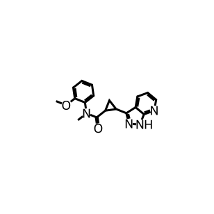 COc1ccccc1N(C)C(=O)C1CC1c1n[nH]c2ncccc12